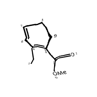 COC(=O)C1=C(C)C=CCC1